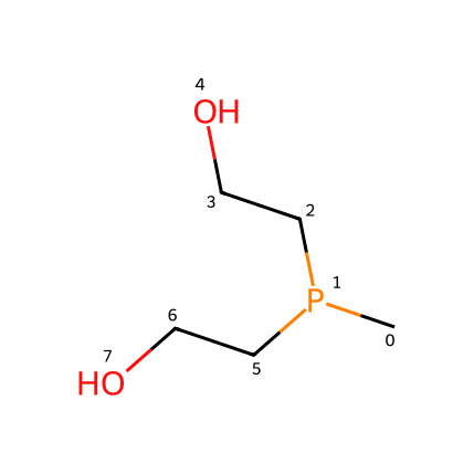 CP(CCO)CCO